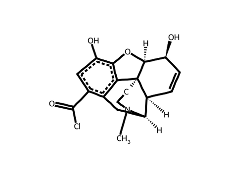 CN1CC[C@]23c4c5c(C(=O)Cl)cc(O)c4O[C@H]2[C@@H](O)C=C[C@H]3[C@H]1C5